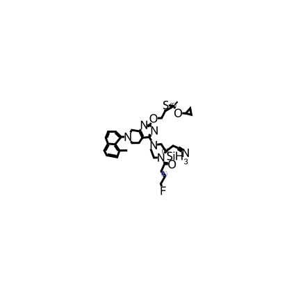 Cc1cccc2cccc(N3CCc4c(nc(OCC5S[C@]5(C)OC5CC5)nc4N4CCN(C(=O)/C=C/CF)[C@]([SiH3])(CC#N)C4)C3)c12